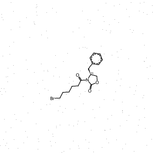 O=C(CCCCCBr)N1C(=O)OC[C@@H]1Cc1ccccc1